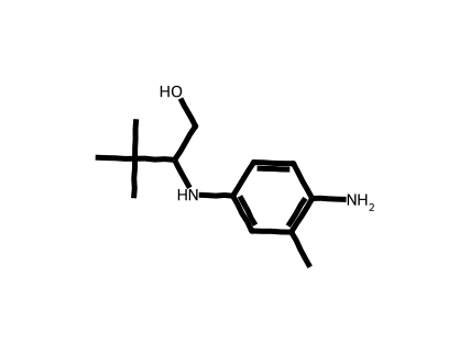 Cc1cc(NC(CO)C(C)(C)C)ccc1N